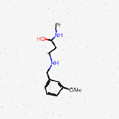 COc1cccc(CN[CH]CC(O)NC(C)C)c1